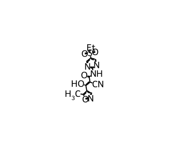 CCS(=O)(=O)c1cnc(NC(=O)/C(C#N)=C(\O)c2cnoc2C)nc1